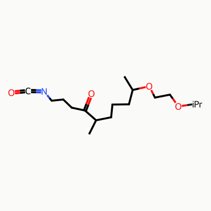 CC(C)OCCOC(C)CCCC(C)C(=O)CCCN=C=O